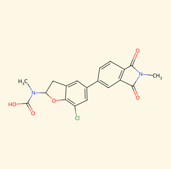 CN1C(=O)c2ccc(-c3cc(Cl)c4c(c3)CC(N(C)C(=O)O)O4)cc2C1=O